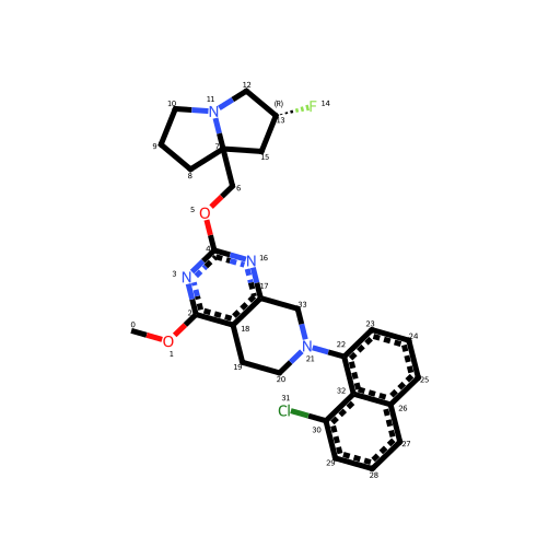 COc1nc(OCC23CCCN2C[C@H](F)C3)nc2c1CCN(c1cccc3cccc(Cl)c13)C2